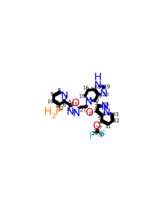 O=C(c1nnc(-c2ncccc2P)o1)N1CCc2[nH]cnc2[C@@H]1c1cc2c(OC(F)F)cccn2n1